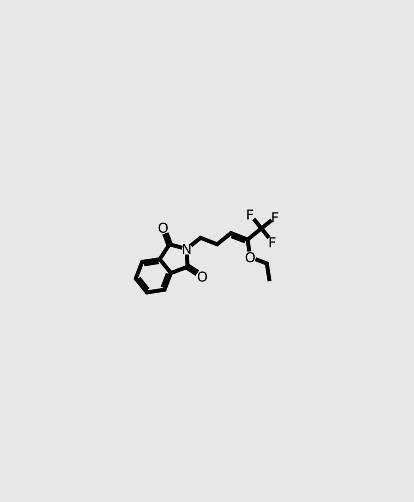 CCOC(=CCCN1C(=O)c2ccccc2C1=O)C(F)(F)F